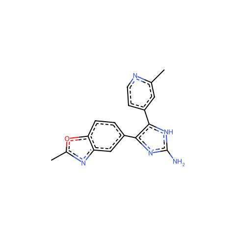 Cc1cc(-c2[nH]c(N)nc2-c2ccc3oc(C)nc3c2)ccn1